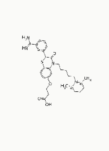 C[C@@H]1CCC[C@H](C)N1CCCCCN1C(=O)C(c2cccc(C(=N)N)c2)Sc2ccc(OCCC(=O)O)cc21